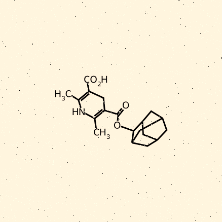 CC1=C(C(=O)O)CC(C(=O)OC2C3CC4CC(C3)CC2C4)=C(C)N1